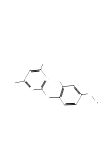 CCCCOc1ccc(Sc2nc(C)cc(C)n2)c(C)c1